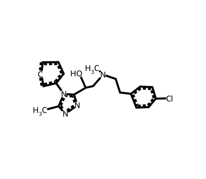 Cc1nnc(C(O)CN(C)CCc2ccc(Cl)cc2)n1-c1ccccc1